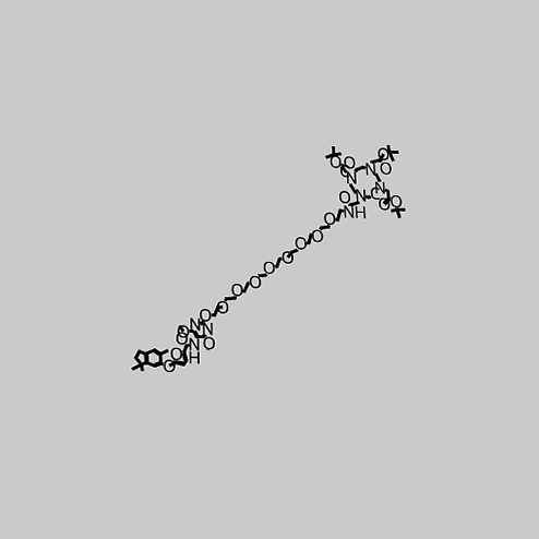 COc1nc(OCCOCCOCCOCCOCCOCCOCCOCCOCCNC(=O)CN2CCN(CC(=O)OC(C)(C)C)CCN(CC(=O)OC(C)(C)C)CCN(CC(=O)OC(C)(C)C)CC2)nc(OC)c1NC(=O)c1ccc(Oc2cc3c(cc2C)CCC3(C)C)o1